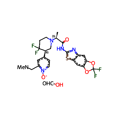 CNCc1cc([C@@H]2CN([C@@H](C)C(=O)Nc3nc4cc5c(cc4s3)OC(F)(F)O5)CCC2(F)F)cc[n+]1[O-].O=CO